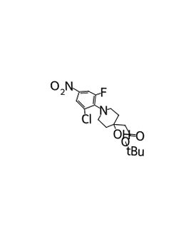 CC(C)(C)OC(=O)CC1(O)CCN(c2c(F)cc([N+](=O)[O-])cc2Cl)CC1